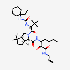 C=CCNC(=O)C(=O)C(CCCC)NC(=O)[C@@H]1[C@H]2CCC(C)(C)[C@H]2CN1C(=O)[C@@H](NC(=O)NC1(CC)CCCCC1)C(C)(C)C